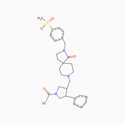 CCC(=O)N1CC(CN2CCC3(CC2)CCN(Cc2ccc(S(C)(=O)=O)cc2)C3=O)C(c2ccccc2)C1